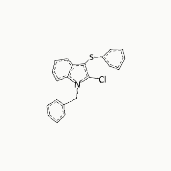 Clc1c(Sc2ccccc2)c2ccccc2n1Cc1ccccc1